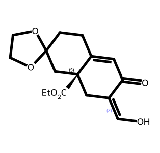 CCOC(=O)[C@]12C/C(=C/O)C(=O)C=C1CCC1(C2)OCCO1